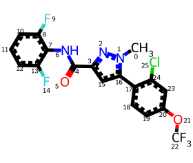 Cn1nc(C(=O)Nc2c(F)cccc2F)cc1-c1ccc(OC(F)(F)F)cc1Cl